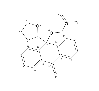 C=C(C)COC1(C2CCCO2)c2ccccc2C(=O)c2ccccc21